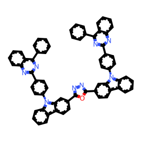 c1ccc(-c2nc(-c3ccc(-n4c5ccccc5c5ccc(-c6nnc(-c7ccc8c9ccccc9n(-c9ccc(-c%10nc(-c%11ccccc%11)c%11ccccc%11n%10)cc9)c8c7)o6)cc54)cc3)nc3ccccc23)cc1